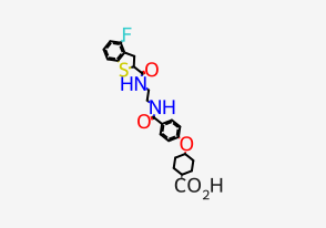 O=C(NCCNC(=O)C1Cc2c(F)cccc2S1)c1ccc(O[C@H]2CC[C@@H](C(=O)O)CC2)cc1